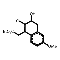 CCOC(=O)CC1c2ccc(OC)cc2CC(O)C1Cl